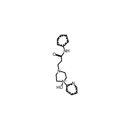 O=C(CCN1CC[N+](O)(c2ccccn2)CC1)Nc1ccccc1